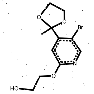 CC1(c2cc(OCCO)ncc2Br)OCCO1